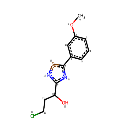 COc1cccc(-c2nc(C(O)CCCl)ns2)c1